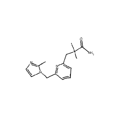 Cc1nccn1Cc1cccc(CC(C)(C)C(N)=O)n1